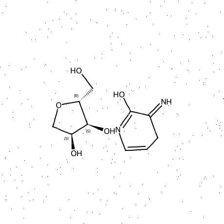 N=C1CC=CN=C1O.OC[C@H]1OC[C@H](O)[C@@H]1O